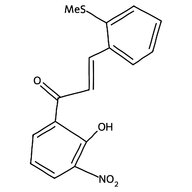 CSc1ccccc1/C=C/C(=O)c1cccc([N+](=O)[O-])c1O